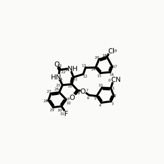 N#Cc1cccc(COC(=O)C2=C(CCc3cccc(Cl)c3)NC(=O)NC2c2cccc(F)c2)c1